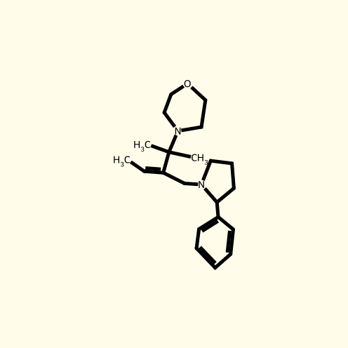 CC=C(CN1CCCC1c1ccccc1)C(C)(C)N1CCOCC1